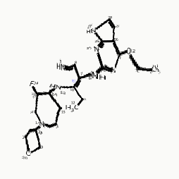 CCOc1nc(N/C(C=N)=C(\CC)NC2CCN(C3COC3)CC2F)nc2[nH]ccc12